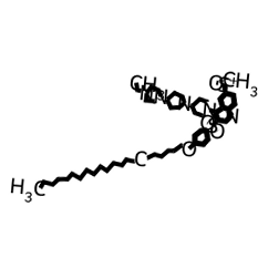 CCCCCCCCCCCCCCCCCCCCCCOc1ccc(S(=O)(=O)c2cnc3ccc([S+](C)[O-])cc3c2N2CCC(N3CCC(N4CCN(CC)CC4)CC3)CC2)cc1